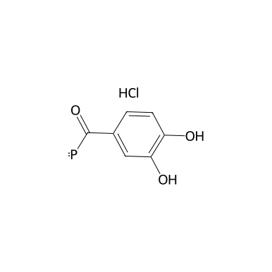 Cl.O=C([P])c1ccc(O)c(O)c1